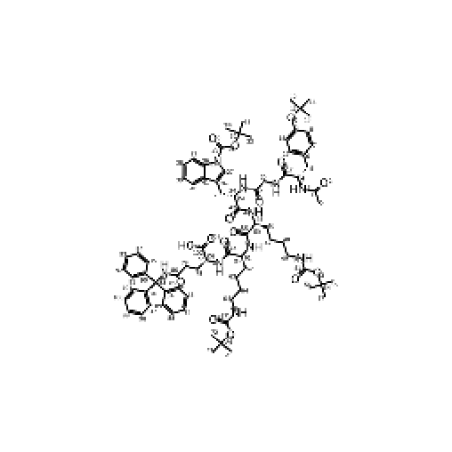 CC(=O)N[C@@H](Cc1ccc(OC(C)(C)C)cc1)C(=O)NCC(=O)N[C@@H](Cc1cn(C(=O)OC(C)(C)C)c2ccccc12)C(=O)N[C@@H](CCCCNC(=O)OC(C)(C)C)C(=O)N[C@@H](CCCCNC(=O)OC(C)(C)C)C(=O)N[C@@H](CCC(=O)NC(c1ccccc1)(c1ccccc1)c1ccccc1)C(=O)O